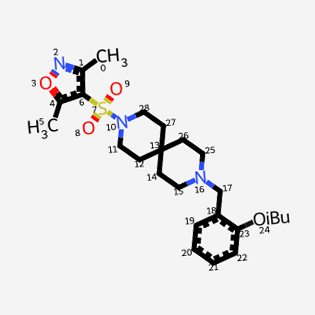 Cc1noc(C)c1S(=O)(=O)N1CCC2(CCN(Cc3ccccc3OCC(C)C)CC2)CC1